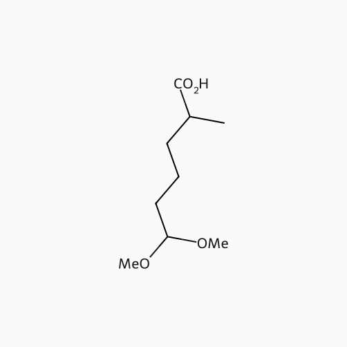 COC(CCCC(C)C(=O)O)OC